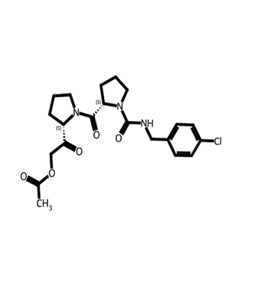 CC(=O)OCC(=O)[C@@H]1CCCN1C(=O)[C@@H]1CCCN1C(=O)NCc1ccc(Cl)cc1